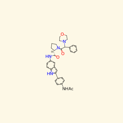 CC(=O)Nc1ccc(-c2cc3cc(NC(=O)[C@@H]4CCCN4C(=O)C(c4ccccc4)N4CCOCC4)ccc3[nH]2)cc1